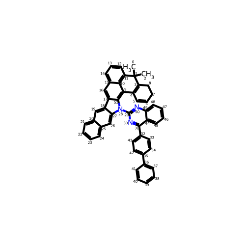 CC1(C)C2=C(C=CCC2)c2c3c1cccc3cc1c3cc4ccccc4cc3n(-c3nc(-c4ccc(-c5ccccc5)cc4)c4ccccc4n3)c21